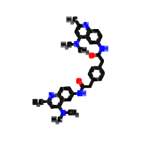 Cc1cc(N(C)C)c2cc(NC(=O)Cc3ccc(CC(=O)Nc4ccc5nc(C)cc(N(C)C)c5c4)cc3)ccc2n1